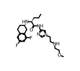 CCC[C@H](N[C@H]1CCc2cc(F)cc(F)c2C1)C(=O)Nc1cn(CCNCCOC)cn1